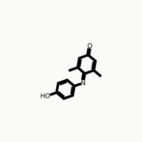 CC1=CC(=O)C=C(C)C1=Nc1ccc(O)cc1